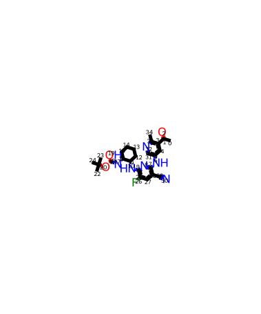 CC(=O)c1cc(Nc2nc(N[C@@H]3CCCC[C@@H]3NC(=O)OC(C)(C)C)c(F)cc2C#N)cnc1C